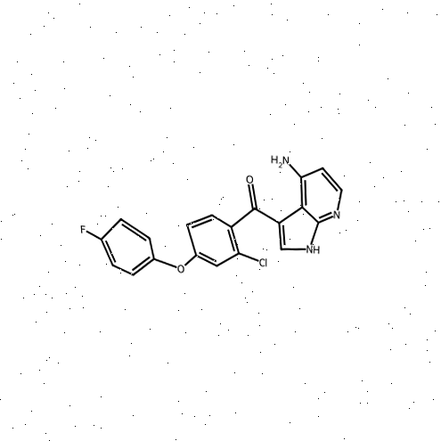 Nc1ccnc2[nH]cc(C(=O)c3ccc(Oc4ccc(F)cc4)cc3Cl)c12